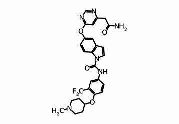 CN1CCC(Oc2ccc(NC(=O)n3ccc4cc(Oc5cc(CC(N)=O)ncn5)ccc43)cc2C(F)(F)F)CC1